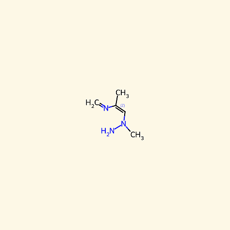 C=N/C(C)=C\N(C)N